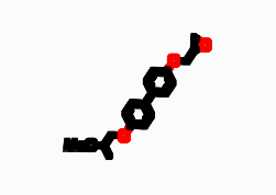 COC(C)COc1ccc(-c2ccc(OCC3CO3)cc2)cc1